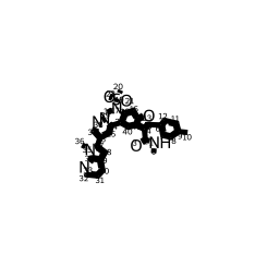 CNC(=O)c1c(-c2ccc(C)cc2)oc2cc(N(C)S(C)(=O)=O)c(-c3cc(-c4cc5cccnc5n4C)cnn3)cc12